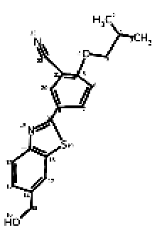 CC(C)COc1ccc(-c2nc3ccc(CO)cc3s2)cc1C#N